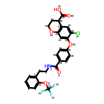 O=C(NCCc1ccccc1OC(F)(F)F)c1ccc(Oc2cc3c(cc2Cl)C(C(=O)O)CCO3)cc1